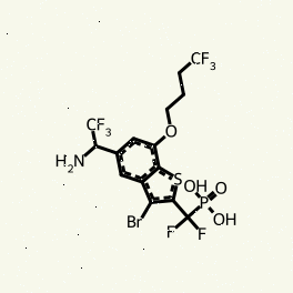 NC(c1cc(OCCCC(F)(F)F)c2sc(C(F)(F)P(=O)(O)O)c(Br)c2c1)C(F)(F)F